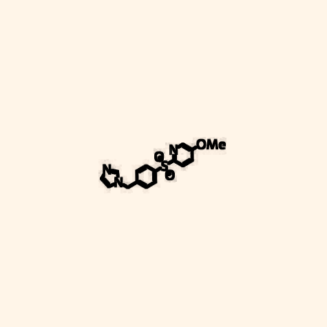 COc1ccc(S(=O)(=O)c2ccc(Cn3ccnc3)cc2)nc1